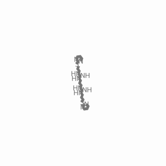 N=C(NCCCNC(=N)NCCCSc1ncccn1)NCCCSc1ncccn1